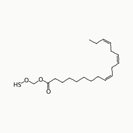 CC/C=C\C/C=C\C/C=C\CCCCCCCC(=O)OCOS